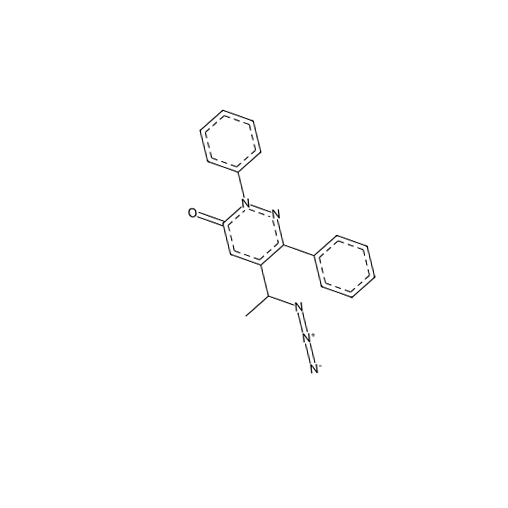 CC(N=[N+]=[N-])c1cc(=O)n(-c2ccccc2)nc1-c1ccccc1